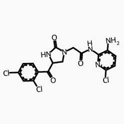 Nc1ccc(Cl)nc1NC(=O)CN1CC(C(=O)c2ccc(Cl)cc2Cl)NC1=O